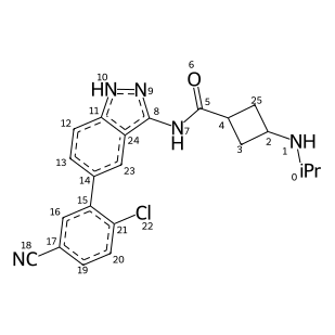 CC(C)NC1CC(C(=O)Nc2n[nH]c3ccc(-c4cc(C#N)ccc4Cl)cc23)C1